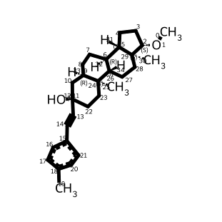 CO[C@H]1CC[C@H]2[C@@H]3CC[C@@H]4C[C@@](O)(C#Cc5ccc(C)cc5)CC[C@]4(C)[C@H]3CC[C@]12C